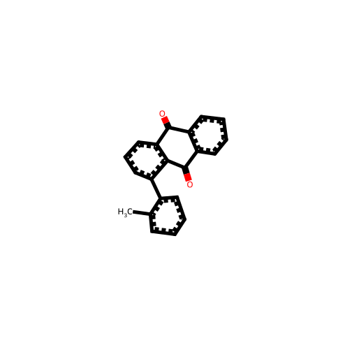 Cc1ccccc1-c1cccc2c1C(=O)c1ccccc1C2=O